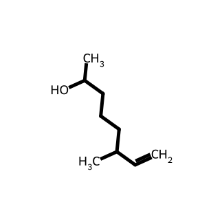 C=CC(C)CCCC(C)O